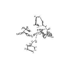 CNC(=O)[C@H](Cc1ccccc1)NC(=O)[C@@H](N)CCc1ccccc1.O=C(O)C(F)(F)F